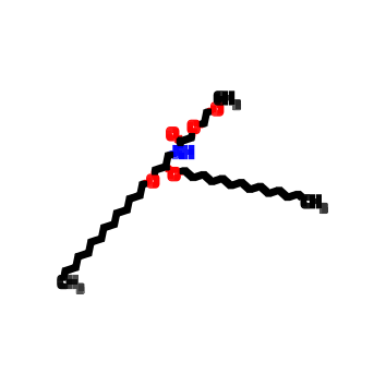 CCCCCCCCCCCCCCOCC(CNC(=O)COCCOC)OCCCCCCCCCCCCCC